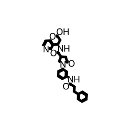 O=C(O)CC(NC(=O)C1CC(=O)N(c2cccc(NC(=O)CCc3ccccc3)c2)C1)c1cccnc1